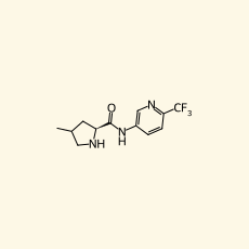 CC1CN[C@H](C(=O)Nc2ccc(C(F)(F)F)nc2)C1